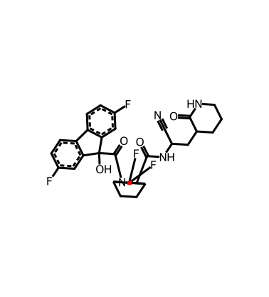 N#CC(CC1CCCNC1=O)NC(=O)C1C2CCC(CC2(F)F)N1C(=O)C1(O)c2cc(F)ccc2-c2ccc(F)cc21